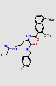 COc1cc2c(OC)cccc2cc1C(=O)NC(CCCNC(=N)CF)C(=O)NCc1ccc(Cl)cc1